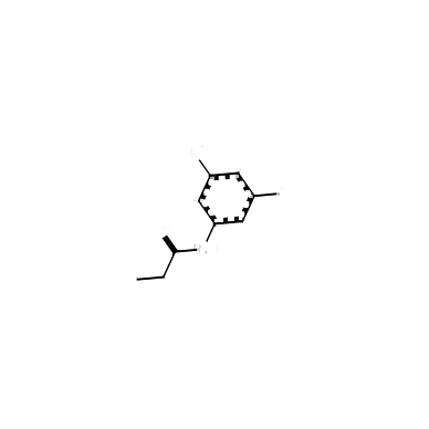 CCC(=O)Nc1cc(F)cc(F)c1